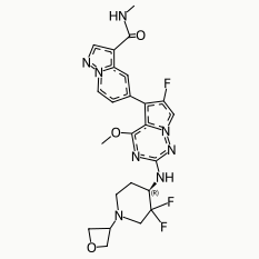 CNC(=O)c1cnn2ccc(-c3c(F)cn4nc(N[C@@H]5CCN(C6COC6)CC5(F)F)nc(OC)c34)cc12